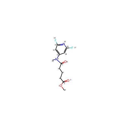 COC(=O)CCCC(=O)N(C)c1cc(F)nc(F)c1